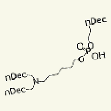 CCCCCCCCCCCCOP(=O)(O)OCCCCCCN(CCCCCCCCCCC)CCCCCCCCCCC